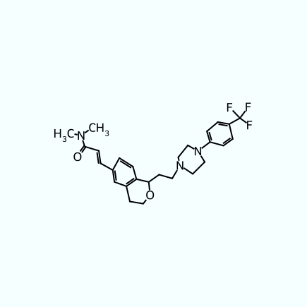 CN(C)C(=O)/C=C/c1ccc2c(c1)CCOC2CCN1CCN(c2ccc(C(F)(F)F)cc2)CC1